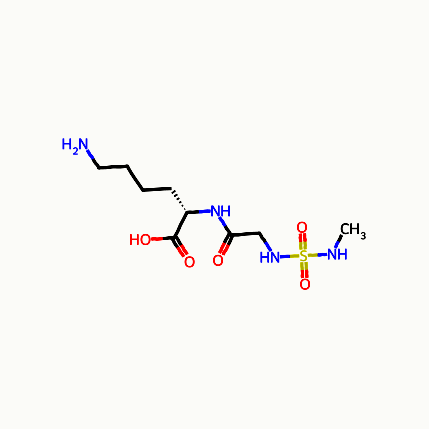 CNS(=O)(=O)NCC(=O)N[C@@H](CCCCN)C(=O)O